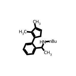 CCCCNC(C)c1ccccc1C1=C(C)C(C)=CC1